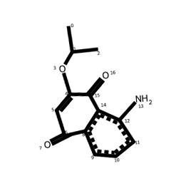 CC(C)OC1=CC(=O)c2cccc(N)c2C1=O